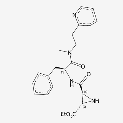 CCOC(=O)[C@H]1N[C@@H]1C(=O)N[C@@H](Cc1ccccc1)C(=O)N(C)CCc1ccccn1